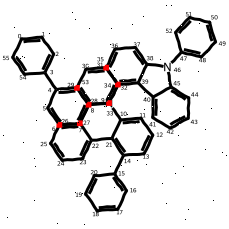 c1ccc(-c2cccc(N(c3cccc(-c4ccccc4)c3-c3ccccc3-c3ccccc3)c3cccc4c3c3ccccc3n4-c3ccccc3)c2)cc1